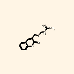 N=C(N)NCSCc1cc2ccccc2oc1=O